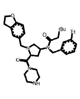 CCc1cccc(CN(C(=O)CC(C)(C)C)C2CC(C(=O)N3CCNCC3)N(Cc3ccc4c(c3)CCO4)C2)c1